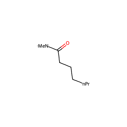 CCCCCCC(=O)[N]C